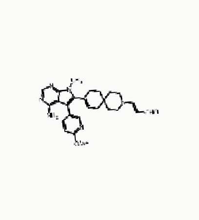 COc1ccc(-c2c(C3=CCC4(CC3)CCN(C=CC=O)CC4)n(C)c3ncnc(N)c23)cn1